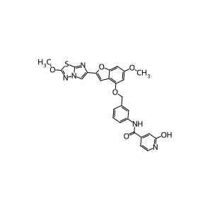 COc1cc(OCc2cccc(NC(=O)c3ccnc(O)c3)c2)c2cc(-c3cn4nc(OC)sc4n3)oc2c1